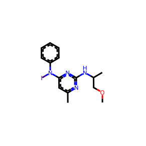 COCC(C)Nc1nc(C)cc(N(I)c2ccccc2)n1